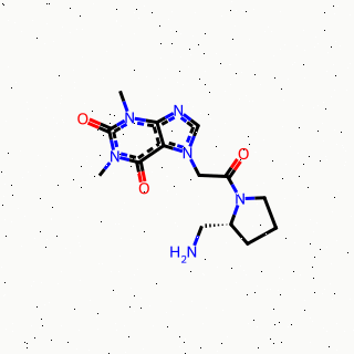 Cn1c(=O)c2c(ncn2CC(=O)N2CCC[C@@H]2CN)n(C)c1=O